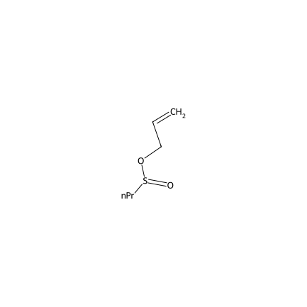 C=CCOS(=O)CCC